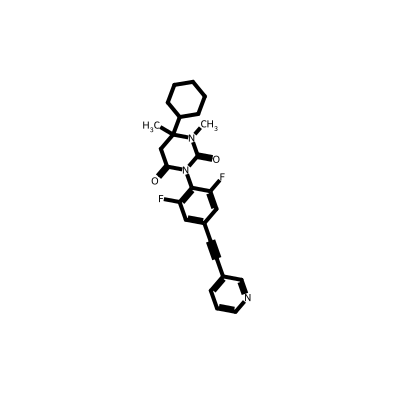 CN1C(=O)N(c2c(F)cc(C#Cc3cccnc3)cc2F)C(=O)CC1(C)C1CCCCC1